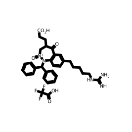 N=C(N)NCCCCCc1ccc2c(c1)C(=O)C(CCC(=O)O)C[N+](=O)N2C(c1ccccc1)c1ccccc1.O=C(O)C(F)(F)F